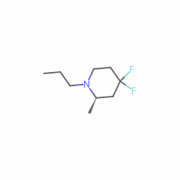 CCCN1CCC(F)(F)C[C@H]1C